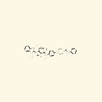 Cc1cc(N2CCN(C(=O)Nc3ccccc3)CC2)ccc1NC(=O)c1ncn(-c2nc3ccccc3[nH]2)c1C(N)=O